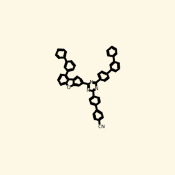 N#Cc1ccc(-c2ccc(-c3nc(-c4ccc(-c5cccc(-c6ccccc6)c5)cc4)nc(-c4ccc5c(c4)oc4cccc(-c6cccc(-c7ccccc7)c6)c45)n3)cc2)cc1